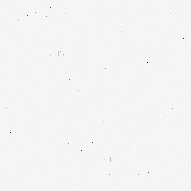 CC(C)(C)OC(=O)NCCc1cccc(-c2cc(C=C3CCOCC3)c3occ(COc4ccccc4CC(=O)O)c3c2)c1F